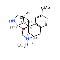 COc1ccc2c(c1)[C@]13CCN(C(=O)O)[C@H](C2)[C@]12CC[C@H]1NC[C@@H](C2)[C@H]13